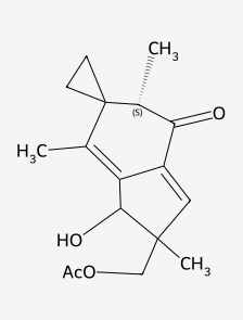 CC(=O)OCC1(C)C=C2C(=O)[C@@H](C)C3(CC3)C(C)=C2C1O